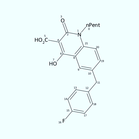 CCCCCn1c(=O)c(C(=O)O)c(O)c2cc(Cc3ccc(F)cc3)ccc21